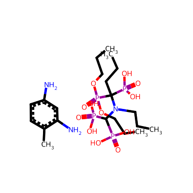 CCCOP(=O)(OCCC)C(CCC)(N(CCC)C(P(=O)(O)O)P(=O)(O)O)P(=O)(O)O.Cc1ccc(N)cc1N